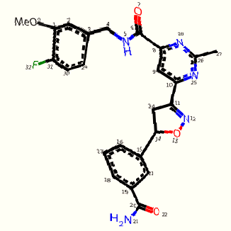 COc1cc(CNC(=O)c2cc(C3=NOC(c4cccc(C(N)=O)c4)C3)nc(C)n2)ccc1F